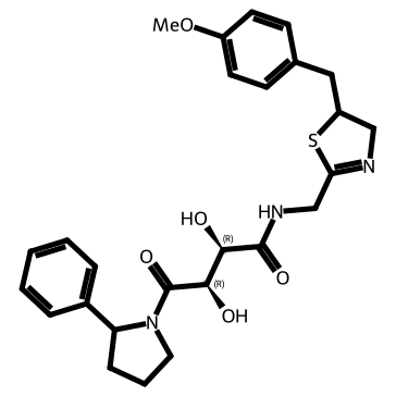 COc1ccc(CC2CN=C(CNC(=O)[C@H](O)[C@@H](O)C(=O)N3CCCC3c3ccccc3)S2)cc1